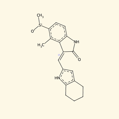 Cc1c([S+](C)[O-])ccc2c1/C(=C/c1cc3c([nH]1)CCCC3)C(=O)N2